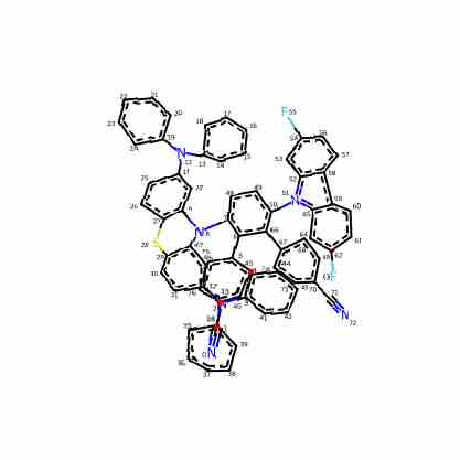 N#Cc1ccc(-c2c(N3c4cc(N(c5ccccc5)c5ccccc5)ccc4Sc4ccc(N(c5ccccc5)c5ccccc5)cc43)ccc(-n3c4cc(F)ccc4c4ccc(F)cc43)c2-c2ccc(C#N)cc2)cc1